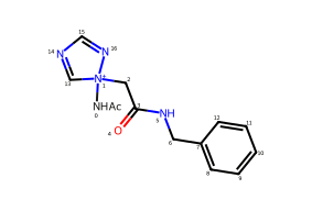 CC(=O)N[N+]1(CC(=O)NCc2ccccc2)C=NC=N1